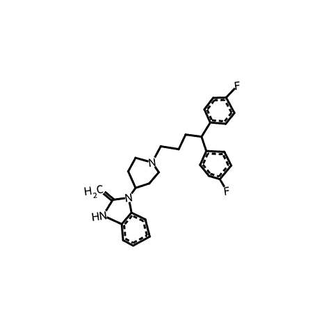 C=C1Nc2ccccc2N1C1CCN(CCCC(c2ccc(F)cc2)c2ccc(F)cc2)CC1